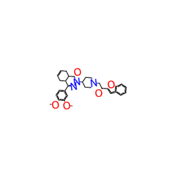 COc1ccc(C2=NN(C3CCN(CC(=O)c4cc5ccccc5o4)CC3)C(=O)C3CC=CCC23)cc1OC